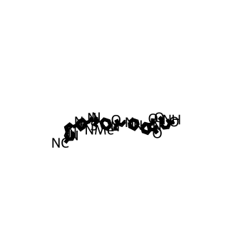 CNc1cc(-c2ccc3cc(C#N)cnn23)ncc1-c1nnc([C@H]2CC[C@H](N(C)C(=O)CCN3CCN(c4ccc5c(c4)C(=O)N(C4CCC(=O)NC4=O)C5=O)CC3)CC2)s1